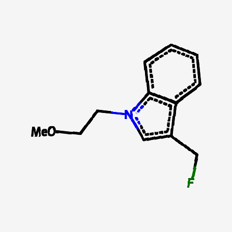 COCCn1cc(CF)c2ccccc21